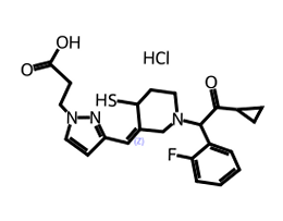 Cl.O=C(O)CCn1ccc(/C=C2/CN(C(C(=O)C3CC3)c3ccccc3F)CCC2S)n1